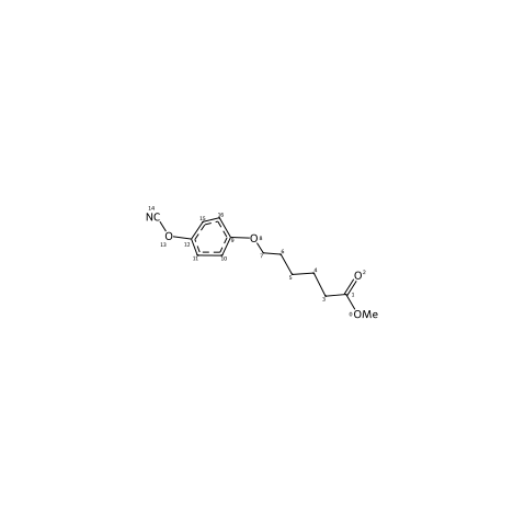 COC(=O)CCCCCOc1ccc(OC#N)cc1